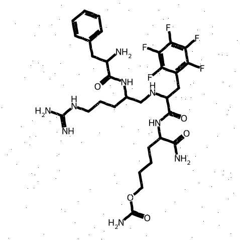 N=C(N)NCCCC(CNC(Cc1c(F)c(F)c(F)c(F)c1F)C(=O)NC(CCCCOC(N)=O)C(N)=O)NC(=O)C(N)Cc1ccccc1